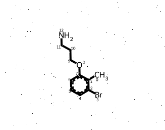 Cc1c(Br)cccc1OCCCN